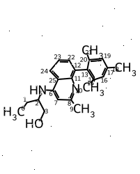 CCC(CO)Nc1cc(C)nc2c(-c3c(C)cc(C)cc3C)cccc12